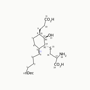 CCCCCCCCCCCCC/C=C1\CC[C@@H](CCC(=O)O)[C@@H](O)[C@@H]1SCC(N)C(=O)O